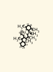 CCC(C)CCC(C(C)C(C)CN(C)C1CC(C)CCC1C)C(C)C1CCCCC1